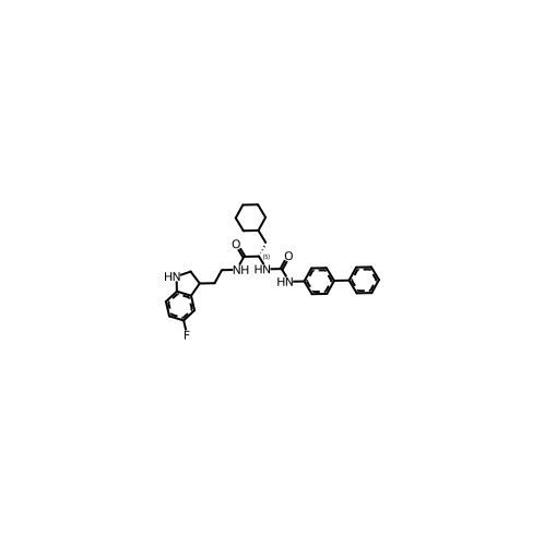 O=C(Nc1ccc(-c2ccccc2)cc1)N[C@@H](CC1CCCCC1)C(=O)NCCC1CNc2ccc(F)cc21